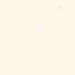 COC(OC)C(=O)NCc1ccc(F)cc1